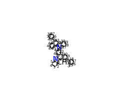 Cc1ccccc1/N=C1\Cc2cc(-c3ccccc3)ccc2-c2cc(-n3c4ccccc4c4cc(-c5ccccc5)c5ccccc5c43)ccc21